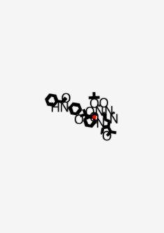 CC1OCc2c1c1ncnc(N(C(=O)OC(C)(C)C)C(=O)OC(C)(C)C)c1n2-c1ccc(Oc2cccc(NC(=O)c3ccccc3)c2)cc1